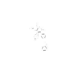 COC(=O)Cc1c(CBr)nc(C)c(-c2ccc(OCCc3ccc(F)cc3)cc2)c1N1CCC(C)(C)CC1